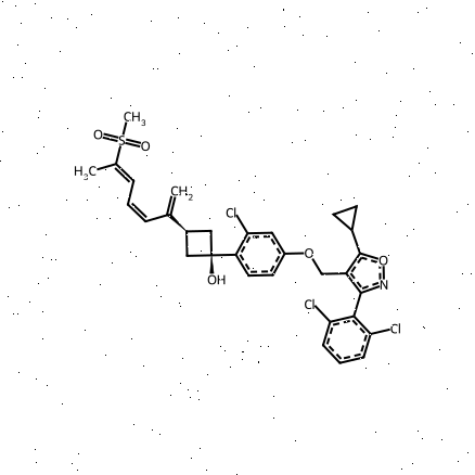 C=C(/C=C\C=C(/C)S(C)(=O)=O)[C@H]1C[C@](O)(c2ccc(OCc3c(-c4c(Cl)cccc4Cl)noc3C3CC3)cc2Cl)C1